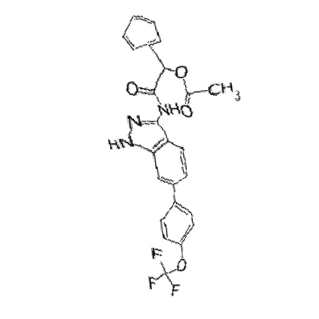 CC(=O)OC(C(=O)Nc1n[nH]c2cc(-c3ccc(OC(F)(F)F)cc3)ccc12)c1ccccc1